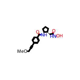 COCC#Cc1ccc(C(=O)N[C@@H]2CCC[C@@H]2CC(=O)NO)cc1